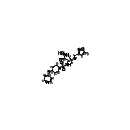 Cc1cc(CSC(C)(C)C(NS(=O)(=O)N2CCC(Sc3ccncc3)CC2)C(=O)NO)no1